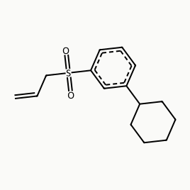 C=CCS(=O)(=O)c1cccc(C2CCCCC2)c1